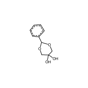 OC1(O)COC(c2ccccc2)OC1